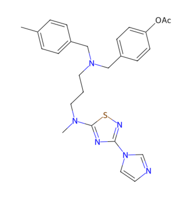 CC(=O)Oc1ccc(CN(CCCN(C)c2nc(-n3ccnc3)ns2)Cc2ccc(C)cc2)cc1